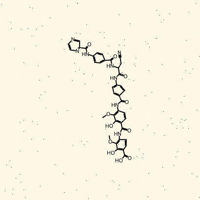 COc1c(NC(=O)c2ccc(NC(=O)c3ccc(NC(=O)C(CC#N)NC(=O)c4ccc(NC(=O)c5cnccn5)cc4)cc3)c(OC)c2O)ccc(C(=O)O)c1O